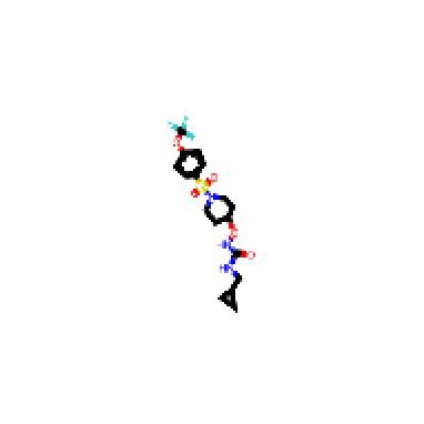 O=C(NCC1CC1)NOC1CCN(S(=O)(=O)c2ccc(OC(F)(F)F)cc2)CC1